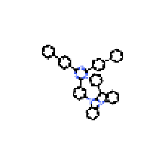 c1ccc(-c2ccc(-c3nc(-c4ccc(-c5ccccc5)cc4)nc(-c4cccc(-n5c6ccccc6n6c7ccccc7c(-c7ccccc7)c56)c4)n3)cc2)cc1